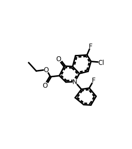 CCOC(=O)c1cn(-c2ccccc2F)c2cc(Cl)c(F)cc2c1=O